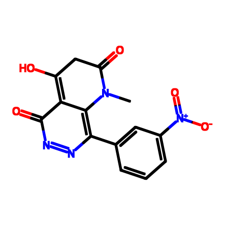 CN1C(=O)CC(O)=C2C(=O)N=NC(c3cccc([N+](=O)[O-])c3)=C21